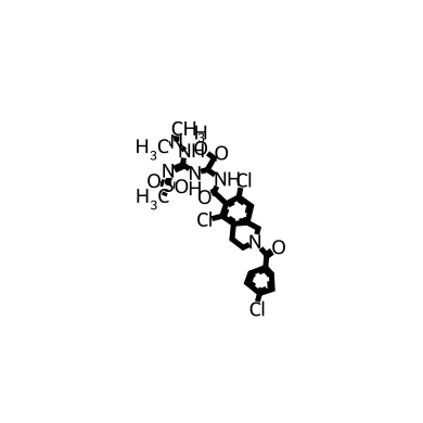 CN(C)N/C(=N/S(C)(=O)=O)NC(NC(=O)c1c(Cl)cc2c(c1Cl)CCN(C(=O)c1ccc(Cl)cc1)C2)C(=O)O